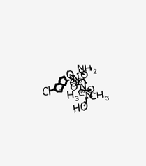 C[C@@H](C(=O)N(C)CCO)N1CC[C@H](N(CC(N)=O)S(=O)(=O)c2ccc3cc(Cl)ccc3c2)C1=O